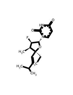 CC[C@@]1(/C=C/C(C)C)O[C@@H](n2ccc(=O)[nH]c2=O)[C@H](F)[C@@H]1C